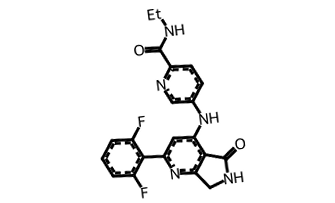 CCNC(=O)c1ccc(Nc2cc(-c3c(F)cccc3F)nc3c2C(=O)NC3)cn1